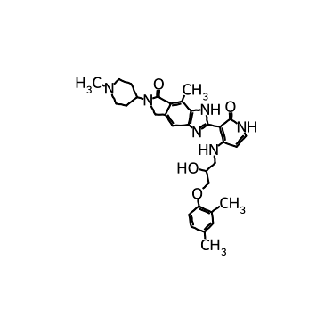 Cc1ccc(OCC(O)CNc2cc[nH]c(=O)c2-c2nc3cc4c(c(C)c3[nH]2)C(=O)N(C2CCN(C)CC2)C4)c(C)c1